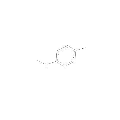 CNc1ccc(C)nn1